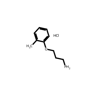 Cc1ccccc1OCCCP.Cl